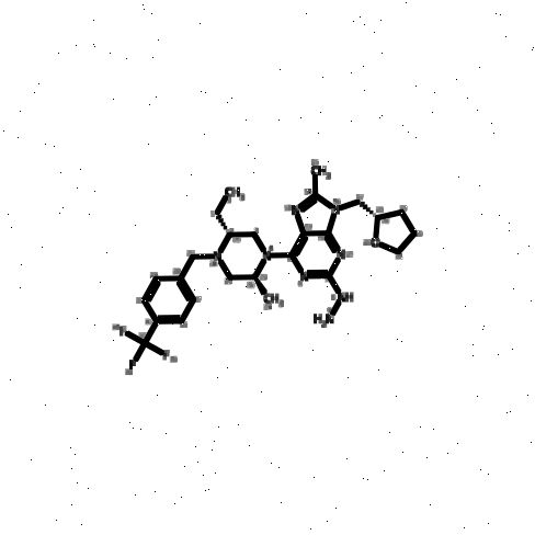 CC[C@@H]1CN(c2nc(NN)nc3c2nc(C)n3C[C@@H]2CCCO2)[C@@H](C)CN1Cc1ccc(C(F)(F)F)cc1